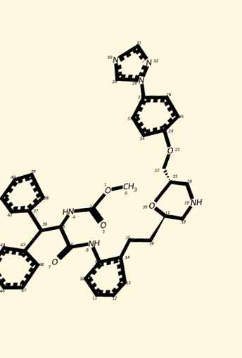 COC(=O)NC(C(=O)Nc1ccccc1CC[C@@H]1CNC[C@@H](COc2ccc(-n3cncn3)cc2)O1)C(c1ccccc1)c1ccccc1